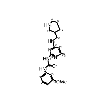 COc1cccc(NC(=O)Nc2nc(C)cc(NCC3CCCNC3)n2)c1